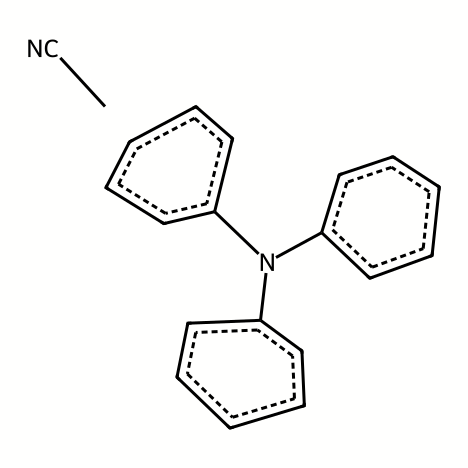 CC#N.c1ccc(N(c2ccccc2)c2ccccc2)cc1